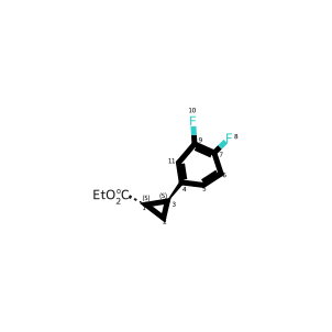 CCOC(=O)[C@H]1C[C@@H]1c1ccc(F)c(F)c1